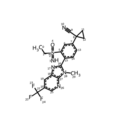 CC[S@@](=N)(=O)c1cc(C2(C#N)CC2)ccc1-c1nc2cc(C(F)(F)F)cnc2n1C